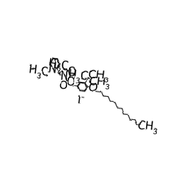 CCCCCCCCCCCCCCOc1ccc(COC(=O)N(Cc2cccc[n+]2CC)C(C)=O)cc1C(C)(C)C.[I-]